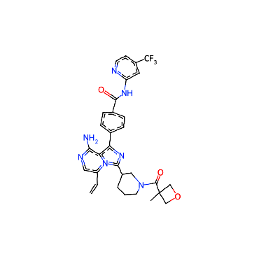 C=Cc1cnc(N)c2c(-c3ccc(C(=O)Nc4cc(C(F)(F)F)ccn4)cc3)nc(C3CCCN(C(=O)C4(C)COC4)C3)n12